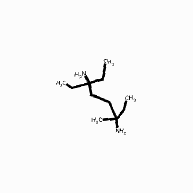 CCC(C)(N)CCC(N)(CC)CC